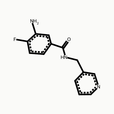 Nc1cc(C(=O)NCc2cccnc2)ccc1F